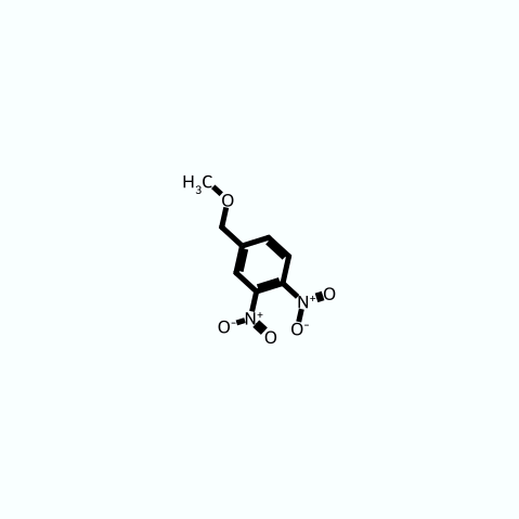 COCc1ccc([N+](=O)[O-])c([N+](=O)[O-])c1